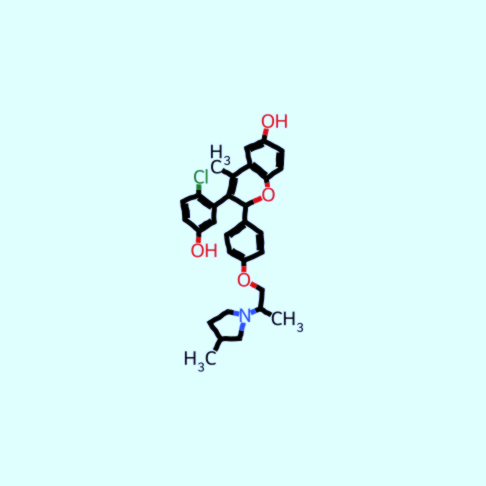 CC1=C(c2cc(O)ccc2Cl)C(c2ccc(OCC(C)N3CCC(C)C3)cc2)Oc2ccc(O)cc21